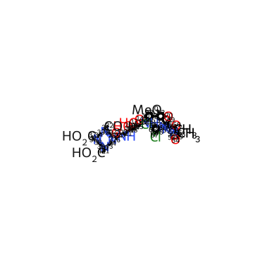 COc1cc2c(cc1-c1cccc(NC(=O)C[C@H](O)C[C@H](O)CCNC(=O)CN3CCN(CC(=O)O)CCN(CC(=O)O)CCN(CC(=O)O)CC3)c1)-c1c(c(C(=O)N3CCOCC3(C)C)nn1-c1cc(Cl)cc(Cl)c1)CO2